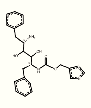 N[C@@H](Cc1ccccc1)C(O)C(O)[C@H](Cc1ccccc1)NC(=O)OCc1cncs1